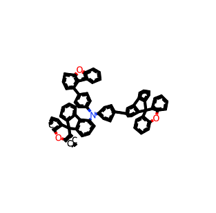 c1ccc2c(c1)Oc1ccccc1C21c2ccccc2-c2cc(-c3ccc(N(c4ccc(-c5cccc6oc7ccccc7c56)cc4)c4cccc5c4-c4ccccc4C54c5ccccc5Oc5ccccc54)cc3)ccc21